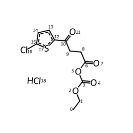 CCOC(=O)OC(=O)CCC(=O)c1ccc(Cl)s1.Cl